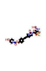 CC(CCN1Cc2cc(C#Cc3ccc(COC(=O)N4CCC(O)CC4)cc3)cn2C1=O)(C(=O)NO)S(C)(=O)=O